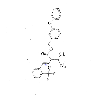 CC(C)C(/C=C/c1ccccc1C(F)(F)F)C(=O)OCc1cccc(Oc2ccccc2)c1